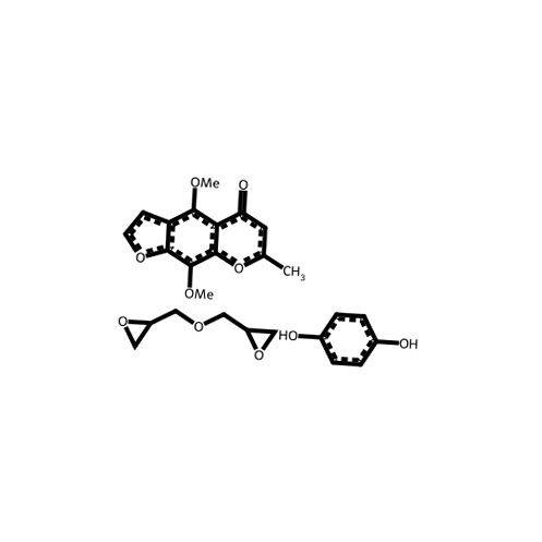 C(OCC1CO1)C1CO1.COc1c2occc2c(OC)c2c(=O)cc(C)oc12.Oc1ccc(O)cc1